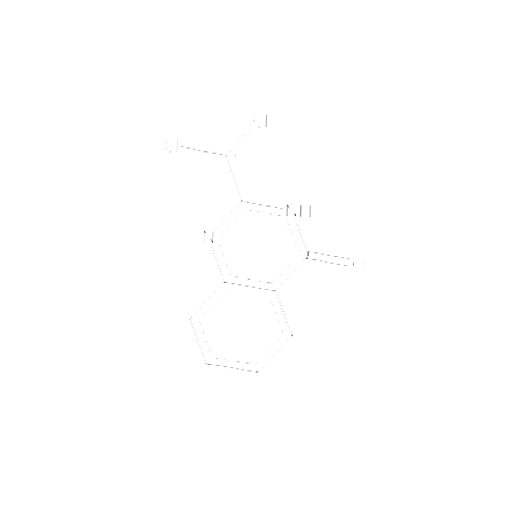 O=c1[nH]c(C(Cl)Cl)nc2ccccc12